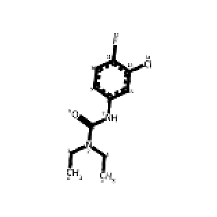 CCN(CC)C(=O)Nc1ccc(F)c(Cl)c1